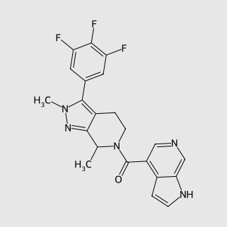 CC1c2nn(C)c(-c3cc(F)c(F)c(F)c3)c2CCN1C(=O)c1cncc2[nH]ccc12